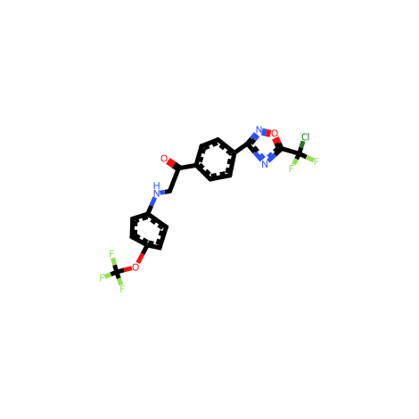 O=C(CNc1ccc(OC(F)(F)F)cc1)c1ccc(-c2noc(C(F)(F)Cl)n2)cc1